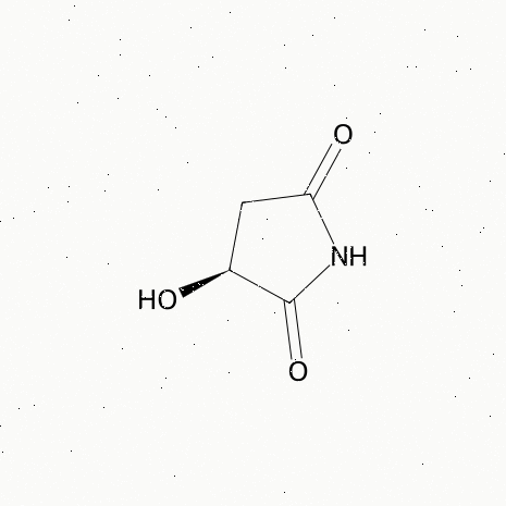 O=C1C[C@H](O)C(=O)N1